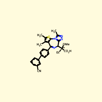 CC[C@@](OC)(C(=O)O)C1N=C(c2ccc(-c3cccc(C#N)c3)cc2)c2c(sc(C)c2C)-n2c(C)nnc21